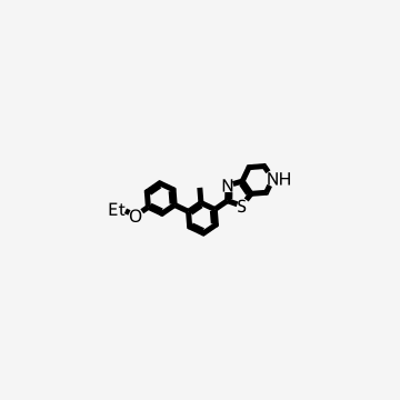 CCOc1cccc(-c2cccc(-c3nc4c(s3)CNCC4)c2C)c1